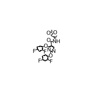 C[C@H](CS(C)(=O)=O)NC(=O)c1cnc(Oc2ccc(F)cc2F)nc1Oc1ccc(F)cc1F